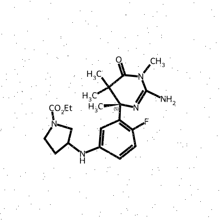 CCOC(=O)N1CCC(Nc2ccc(F)c([C@@]3(C)N=C(N)N(C)C(=O)C3(C)C)c2)C1